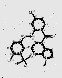 Cn1ccc2c(C(=O)c3ncc(Cl)cc3NSc3ccc(Cl)c(C(F)(F)F)c3)ncnc21